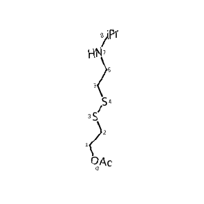 CC(=O)OCCSSCCNC(C)C